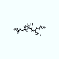 CN(CCCO)CCC1COC(CCC(=O)O)O1.Cl